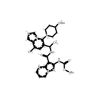 CCCCOC(=O)Nc1nn2cccnc2c1C(=O)NC(C)c1cc(Cl)c2cncn2c1N1CCC(OC)CC1